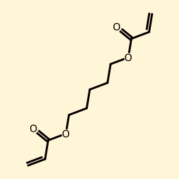 C=CC(=O)OCCCCCOC(=O)C=C